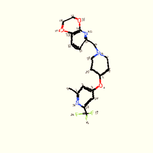 Cc1cc(OC2CCN(Cc3ccc4c(n3)OCCO4)CC2)cc(C(F)(F)F)n1